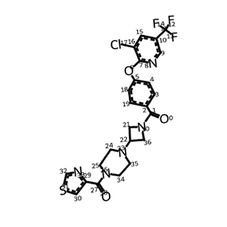 O=C(c1ccc(Oc2ncc(C(F)(F)F)cc2Cl)cc1)N1CC(N2CCN(C(=O)c3cscn3)CC2)C1